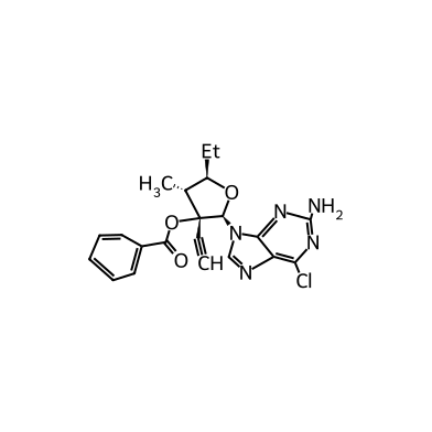 C#C[C@@]1(OC(=O)c2ccccc2)[C@H](C)[C@@H](CC)O[C@H]1n1cnc2c(Cl)nc(N)nc21